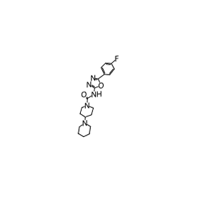 O=C(Nc1nnc(-c2ccc(F)cc2)o1)N1CCC(N2CCCCC2)CC1